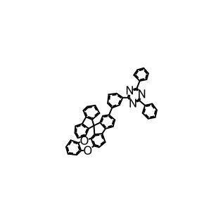 c1ccc(-c2nc(-c3ccccc3)nc(-c3cccc(-c4ccc5c(c4)C4(c6ccccc6-c6ccccc64)c4c-5ccc5c4Oc4ccccc4O5)c3)n2)cc1